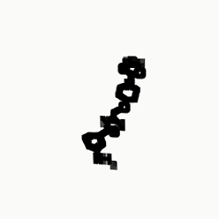 CC(C)(C)OC(=O)N1CCC(OCc2noc(-c3cccc(N)c3)n2)CC1